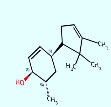 CC1=CCC([C@@H]2C=C[C@H](O)[C@@H](C)C2)C1(C)C